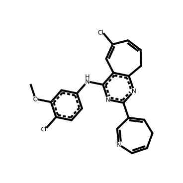 COc1cc(Nc2nc(C3=CCC=CN=C3)nc3c2C=C(Cl)C=CC3)ccc1Cl